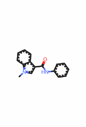 Cn1cc(C(=O)Nc2ccccc2)c2ccccc21